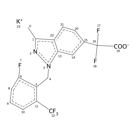 Cc1nn(Cc2c(F)cccc2C(F)(F)F)c2cc(C(F)(F)C(=O)[O-])ccc12.[K+]